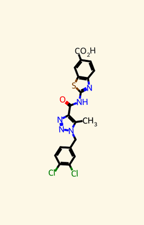 Cc1c(C(=O)Nc2nc3ccc(C(=O)O)cc3s2)nnn1Cc1ccc(Cl)c(Cl)c1